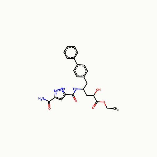 CCOC(=O)C(O)CC(Cc1ccc(-c2ccccc2)cc1)NC(=O)c1cc(C(N)=O)n[nH]1